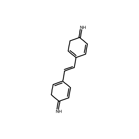 N=C1C=CC(C=CC2=CCC(=N)C=C2)=CC1